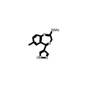 CNC1=Nc2ccc(C)cc2C(c2cn[nH]c2)=NC1